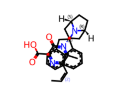 C/C=C\c1nc(C(=O)O)c(=O)n([C@H]2C[C@H]3CC[C@@H](C2)N3C2Cc3cccc4cccc2c34)c1C